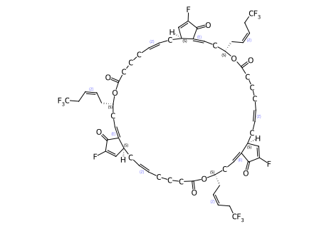 O=C1CCC/C=C\C[C@H]2C=C(F)C(=O)/C2=C/C[C@H](C/C=C\CC(F)(F)F)OC(=O)CCC/C=C\C[C@H]2C=C(F)C(=O)/C2=C/C[C@H](C/C=C\CC(F)(F)F)OC(=O)CCC/C=C\C[C@H]2C=C(F)C(=O)/C2=C/C[C@H](C/C=C\CC(F)(F)F)O1